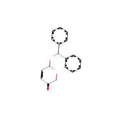 O=C1C=CC(OC(c2ccccc2)c2ccccc2)OC1